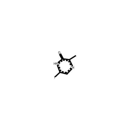 Cc1ncc(I)[nH]c1=O